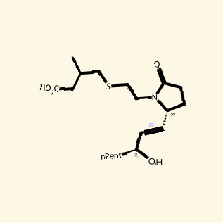 CCCCC[C@H](O)/C=C/[C@H]1CCC(=O)N1CCSCC(C)CC(=O)O